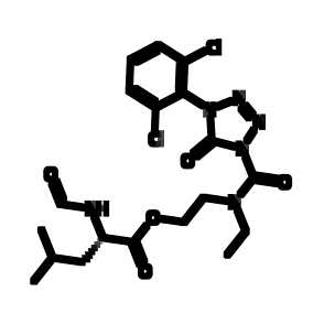 CCN(CCOC(=O)[C@H](CC(C)C)NC=O)C(=O)n1nnn(-c2c(Cl)cccc2Cl)c1=O